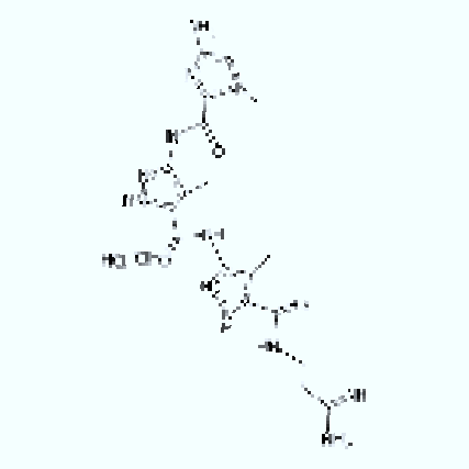 Cc1c(NC(=O)c2[nH]nc(NC(=O)c3nc(N)cn3C)c2C)n[nH]c1C(=O)NCCC(=N)N.Cl.Cl